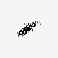 C[C@@H]1CC[C@@]2(OC1)O[C@H]1C[C@H]3[C@@H]4CC[C@@H]5CC(F)(F)CC[C@]5(C)[C@H]4CC[C@]3(C)[C@H]1[C@@H]2C